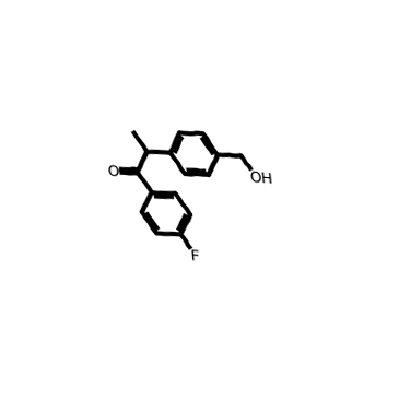 CC(C(=O)c1ccc(F)cc1)c1ccc(CO)cc1